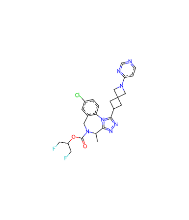 CC1c2nnc(C3CC4(C3)CN(c3ccncn3)C4)n2-c2ccc(Cl)cc2CN1C(=O)OC(CF)CF